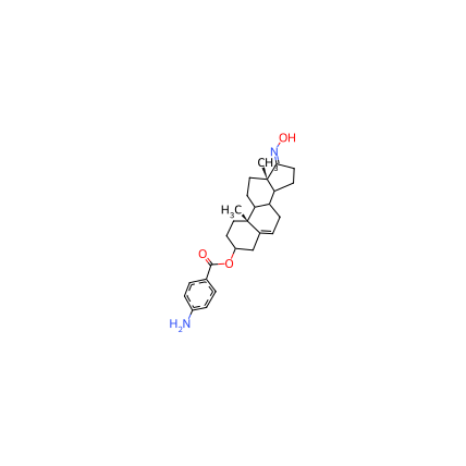 C[C@]12CCC(OC(=O)c3ccc(N)cc3)CC1=CCC1C2CC[C@]2(C)/C(=N/O)CCC12